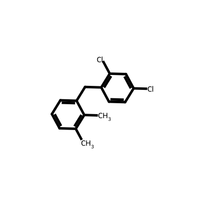 Cc1cccc(Cc2ccc(Cl)cc2Cl)c1C